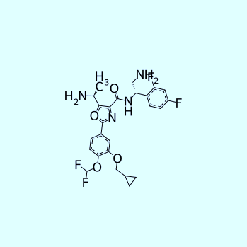 C[C@H](N)c1oc(-c2ccc(OC(F)F)c(OCC3CC3)c2)nc1C(=O)N[C@H](CN)c1ccc(F)cc1F